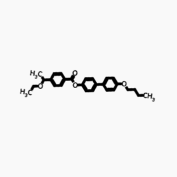 CCCCOc1ccc(-c2ccc(OC(=O)c3ccc(C(C)OCC)cc3)cc2)cc1